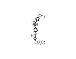 CCOC(=O)C1CC(NCc2ccc(-c3noc(-c4ccc(C)cc4)n3)cc2)C1